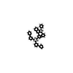 c1ccc(-c2cccc(-c3nc(-c4cccc(-c5ccccc5)c4)nc(-c4cccc(-c5cc6ccccc6c6c5c(-c5ccccc5)nn6-c5ccccc5)c4)n3)c2)cc1